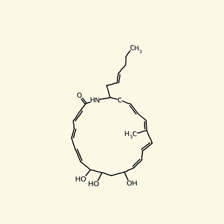 CCC/C=C/CC1C/C=C/C=C(C)/C=C/C=C\C(O)CC(O)C(O)/C=C/C=C/C=C/C(=O)N1